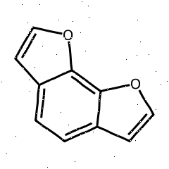 c1cc2ccc3ccoc3c2o1